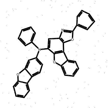 c1ccc(-c2nc3cc(N(c4ccccc4)c4ccc5c(c4)oc4ccccc45)c4oc5ccccc5c4c3o2)cc1